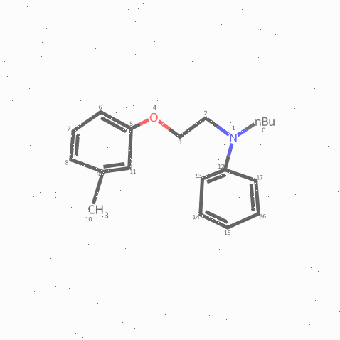 CCCCN(CCOc1cccc(C)c1)c1ccccc1